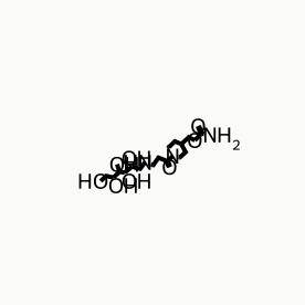 NC(=O)OCC1CCN(C(=O)CCNCC(O)C(O)C(O)C(O)CO)CC1